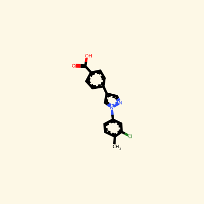 Cc1ccc(-n2cc(-c3ccc(C(=O)O)cc3)cn2)cc1Cl